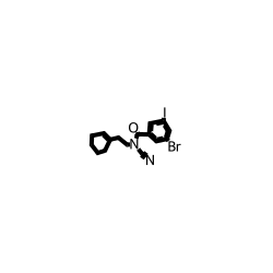 N#CN(CCC1=CCCCC1)C(=O)c1cc(Br)cc(I)c1